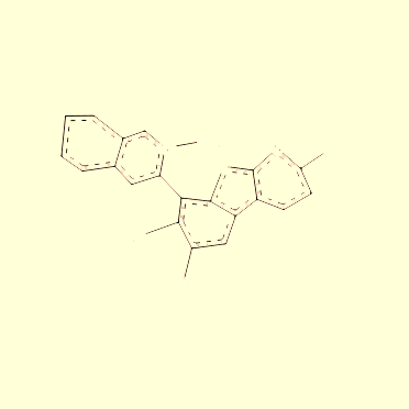 Cc1ccc2c(n1)oc1c(-c3cc4ccccc4c[n+]3C)c(C)c(C)cc12